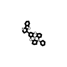 c1ccc(N2c3cccc4c3B3c5c(cc(-c6ccnc7c6oc6ccccc67)cc5Oc5cccc2c53)O4)cc1